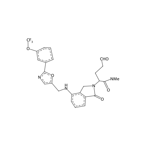 CNC(=O)C(CCC=O)N1Cc2c(NCc3cnc(-c4cccc(OC(F)(F)F)c4)o3)cccc2C1=O